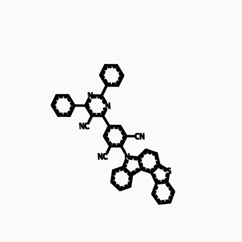 N#Cc1cc(-c2nc(-c3ccccc3)nc(-c3ccccc3)c2C#N)cc(C#N)c1-n1c2ccccc2c2c3c(ccc21)sc1ccccc13